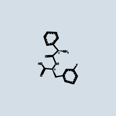 N[C@H](C(=O)N[C@@H](Cc1cccc(F)c1)C(=O)O)c1ccccc1